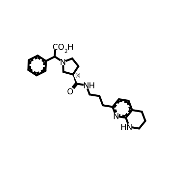 O=C(O)C(c1ccccc1)N1CC[C@@H](C(=O)NCCCc2ccc3c(n2)NCCC3)C1